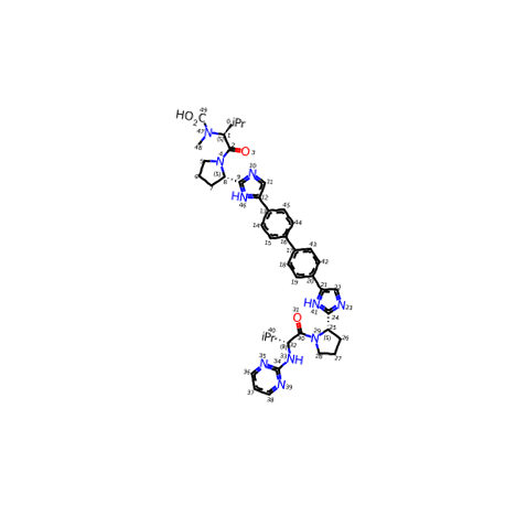 CC(C)[C@@H](C(=O)N1CCC[C@H]1c1ncc(-c2ccc(-c3ccc(-c4cnc([C@@H]5CCCN5C(=O)[C@H](Nc5ncccn5)C(C)C)[nH]4)cc3)cc2)[nH]1)N(C)C(=O)O